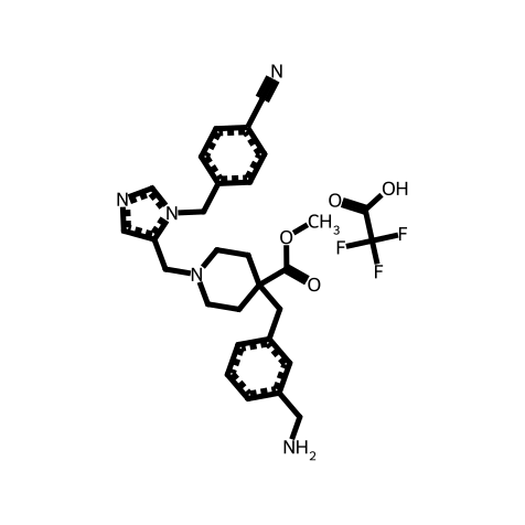 COC(=O)C1(Cc2cccc(CN)c2)CCN(Cc2cncn2Cc2ccc(C#N)cc2)CC1.O=C(O)C(F)(F)F